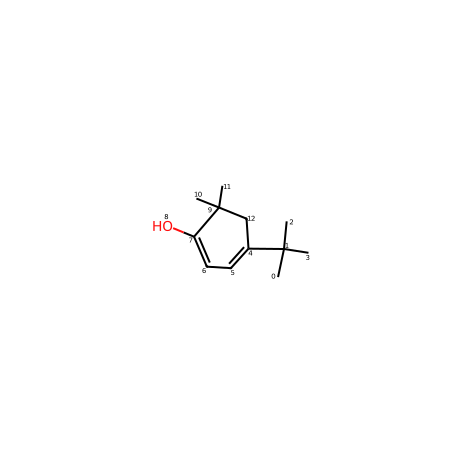 CC(C)(C)C1=CC=C(O)C(C)(C)C1